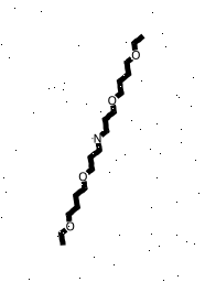 CCOCCCCOCCC[N]CCCOCCCCOCC